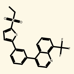 CCS(=O)(=O)c1ccc(-c2cccc(-c3ccnc4c(C(F)(F)F)cccc34)c2)s1